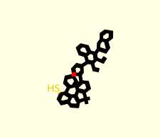 C=Cc1c(C=C)c(-c2cccc(-c3ccc4c(c3)-c3c(ccc5ccc(S)c(-c6ccccc6)c35)C4(C)C)c2)c2ccccc2c1C1=CC=C2C=CC=CC2C1